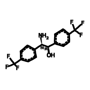 N[C@@H](c1ccc(C(F)(F)F)cc1)[C@H](O)c1ccc(C(F)(F)F)cc1